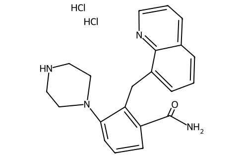 Cl.Cl.NC(=O)c1cccc(N2CCNCC2)c1Cc1cccc2cccnc12